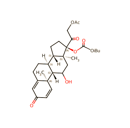 CC(=O)OCC(=O)[C@@]1(OC(=O)OCC(C)C)CC[C@H]2[C@@H]3CCC4=CC(=O)C=C[C@]4(C)[C@H]3C(O)C[C@@]21C